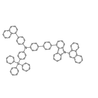 c1ccc([Si](c2ccccc2)(c2ccccc2)c2ccc(N(c3ccc(-c4ccc(-c5cccc6c5c5ccccc5n6-c5cc6ccccc6c6ccccc56)cc4)cc3)c3ccc(-c4cccc5ccccc45)cc3)cc2)cc1